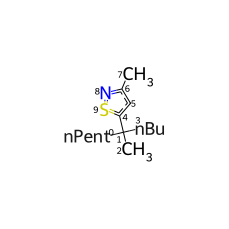 CCCCCC(C)(CCCC)c1cc(C)ns1